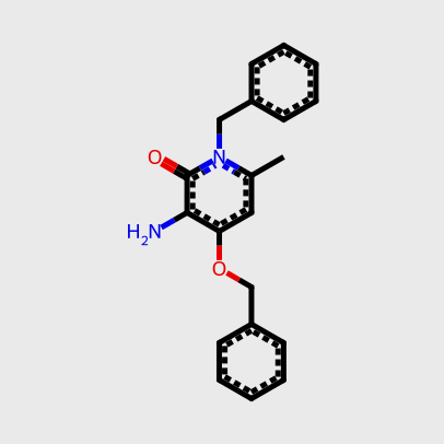 Cc1cc(OCc2ccccc2)c(N)c(=O)n1Cc1ccccc1